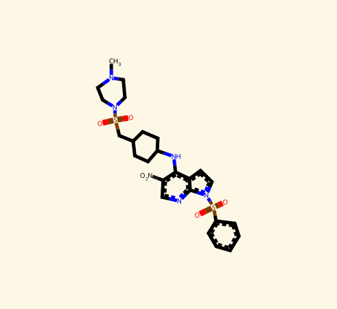 CN1CCN(S(=O)(=O)CC2CCC(Nc3c([N+](=O)[O-])cnc4c3ccn4S(=O)(=O)c3ccccc3)CC2)CC1